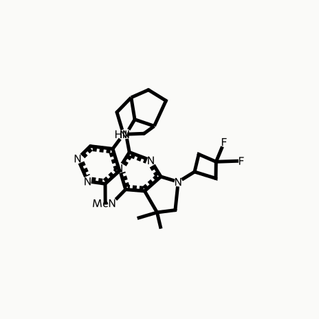 CNc1nc(NC2C3CCC2CN(c2cnnc(C)c2)C3)nc2c1C(C)(C)CN2C1CC(F)(F)C1